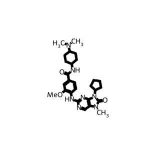 COc1cc(C(=O)NC2CCC(N(C)C)CC2)ccc1Nc1ncc2c(n1)n(C1CCCC1)c(=O)n2C